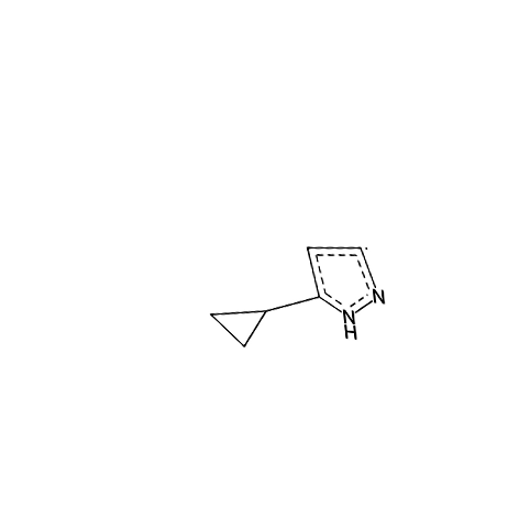 [c]1cc(C2CC2)[nH]n1